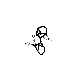 CC1C(C2CC3CCC2(C)C3(C)C)[C]2CCC1C2(C)C